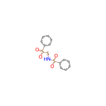 O=S(=O)(NSS(=O)(=O)c1ccccc1)c1ccccc1